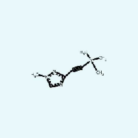 Cn1cnc(C#CS(C)(C)C)n1